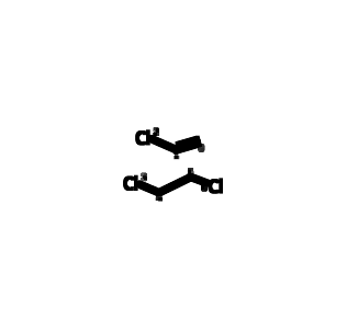 C=CCl.ClCCCl